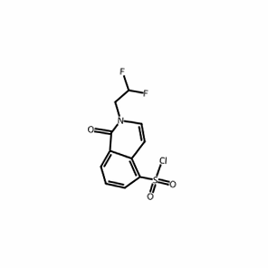 O=c1c2cccc(S(=O)(=O)Cl)c2ccn1CC(F)F